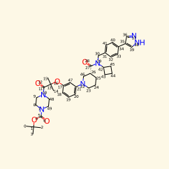 CC(C)(C)OC(=O)N1CCN(C(=O)C(C)(C)Oc2cccc(N3CCC[C@@H](C(=O)N(Cc4ccc(-c5cn[nH]c5)cc4)C4CCC4)C3)c2)CC1